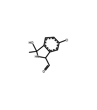 CC1(O)NC(C=O)c2cc(Cl)ccc21